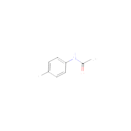 CCC(C)C(=O)Nc1ccc(C(F)(F)F)cc1